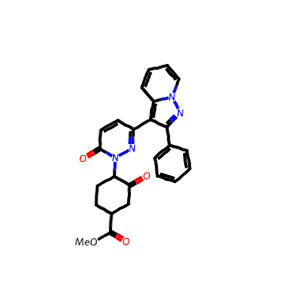 COC(=O)C1CCC(n2nc(-c3c(-c4ccccc4)nn4ccccc34)ccc2=O)C(=O)C1